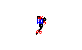 CCOC(=O)C=Cc1ccc(NC(=O)C2(NC(=O)OC(C)(C)C)CCCC2)cc1